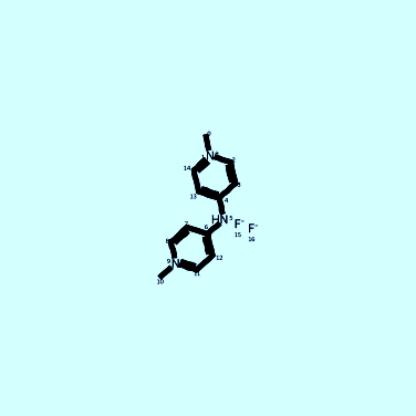 C[n+]1ccc(Nc2cc[n+](C)cc2)cc1.[F-].[F-]